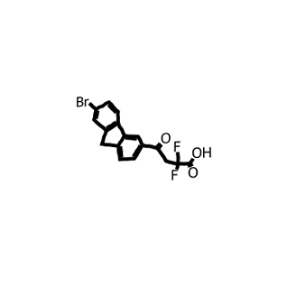 O=C(CC(F)(F)C(=O)O)c1ccc2c(c1)-c1ccc(Br)cc1C2